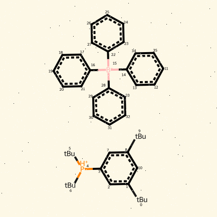 CC(C)(C)c1cc([PH+](C(C)(C)C)C(C)(C)C)cc(C(C)(C)C)c1.c1ccc([B-](c2ccccc2)(c2ccccc2)c2ccccc2)cc1